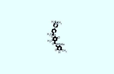 CSc1cc(C)[nH]c(=O)c1CNC(=O)c1cc(Cl)c2c(c1C)O[C@](C)([C@H]1CC[C@H](N3CC[Si](C)(C)CC3)CC1)O2